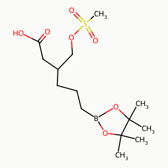 CC1(C)OB(CCCC(COS(C)(=O)=O)CC(=O)O)OC1(C)C